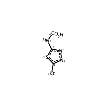 CCc1nnc(NC(=O)O)s1